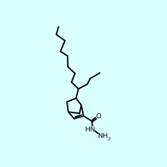 CCCCCCCCC(CCC)C1CC2C=C(C(=O)NN)C1C2